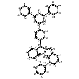 c1ccc(-c2cc(-c3ccc(-c4c5ccccc5n5c4sc4cccc(-c6ccccc6)c45)cc3)nc(-c3ccccc3)n2)cc1